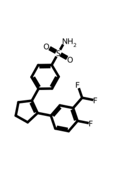 NS(=O)(=O)c1ccc(C2=C(c3ccc(F)c(C(F)F)c3)CCC2)cc1